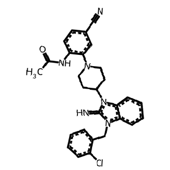 CC(=O)Nc1ccc(C#N)cc1N1CCC(n2c(=N)n(Cc3ccccc3Cl)c3ccccc32)CC1